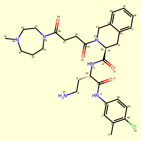 Cc1cc(NC(=O)[C@H](CCN)NC(=O)[C@@H]2Cc3ccccc3CN2C(=O)CCC(=O)N2CCCN(C)CC2)ccc1Cl